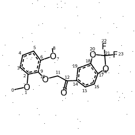 COc1cccc(OC)c1OCC(=O)c1ccc2c(c1)OC(F)(F)O2